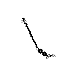 C=CC(=O)OCCCCCCCCCCCCCCCCCCCCOc1ccc(-c2ccc(C(=O)OCC(C)CC)cc2)cc1